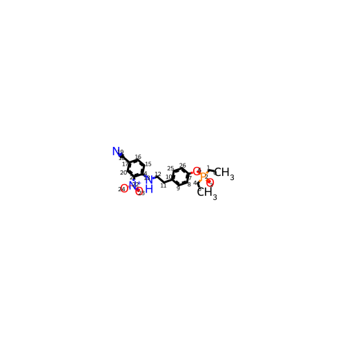 CCP(=O)(CC)Oc1ccc(CCNc2ccc(C#N)cc2[N+](=O)[O-])cc1